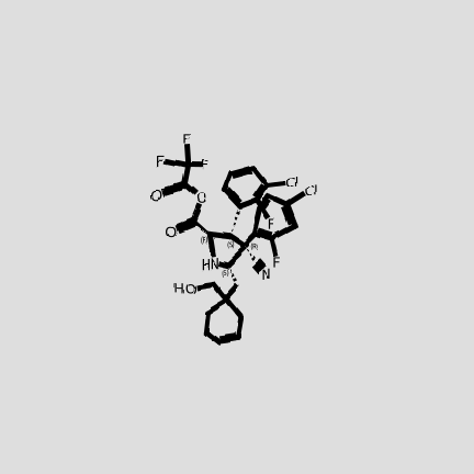 N#C[C@]1(c2ccc(Cl)cc2F)[C@H](CC2(CO)CC=CCC2)N[C@@H](C(=O)OC(=O)C(F)(F)F)[C@@H]1c1cccc(Cl)c1F